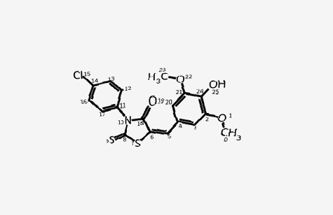 COc1cc(C=C2SC(=S)N(c3ccc(Cl)cc3)C2=O)cc(OC)c1O